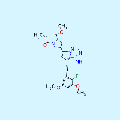 C=CC(=O)N1CC(c2cc(C#Cc3cc(OC)cc(OC)c3F)c3c(N)ncnn23)C[C@@H]1COC